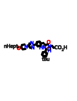 CCCCCCCOC1CCN(c2cnc(-c3ccc(C[C@H](NC(=O)c4ccc(C(C)(C)C)cc4)C(=O)NCCC(=O)O)cc3)nc2)CC1